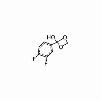 OC1(c2ccc(F)c(F)c2)OCO1